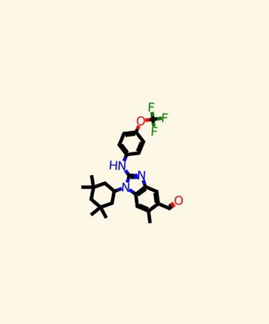 Cc1cc2c(cc1C=O)nc(Nc1ccc(OC(F)(F)F)cc1)n2C1CC(C)(C)CC(C)(C)C1